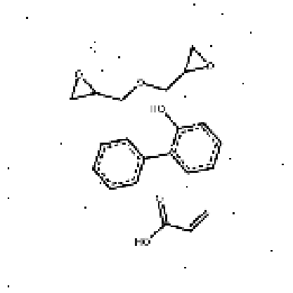 C(OCC1CO1)C1CO1.C=CC(=O)O.Oc1ccccc1-c1ccccc1